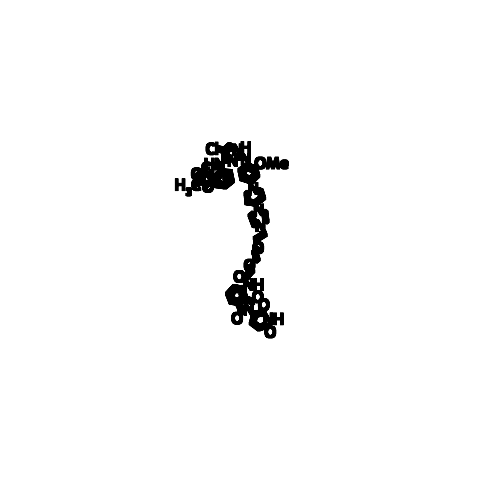 COc1cc(N2CCC(N3CCN(CCOCCOCC(=O)Nc4cccc5c4C(=O)N(C4CCC(=O)NC4=O)C5=O)CC3)CC2)ccc1Nc1ncc(Cl)c(Nc2ccccc2N(C)S(C)(=O)=O)n1